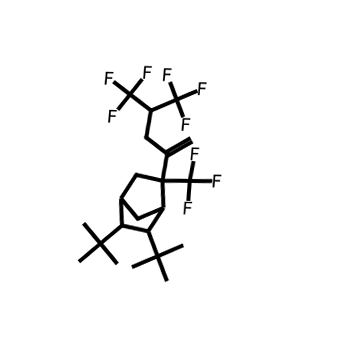 C=C(CC(C(F)(F)F)C(F)(F)F)C1(C(F)(F)F)CC2CC1C(C(C)(C)C)C2C(C)(C)C